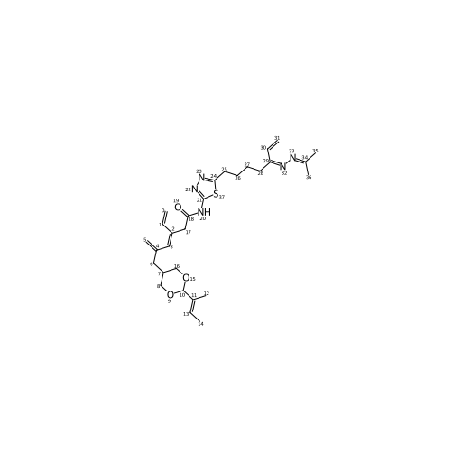 C=C/C(=C\C(=C)CC1COC(/C(C)=C/C)OC1)CC(=O)Nc1nnc(CCCC/C(C=C)=N/N=C(C)C)s1